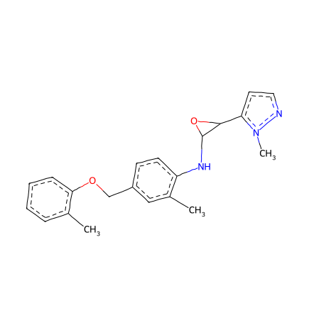 Cc1cc(COc2ccccc2C)ccc1NC1OC1c1ccnn1C